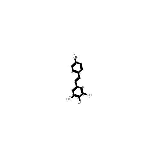 Oc1ccc(C=Cc2cc(O)c(I)c(O)c2)cc1